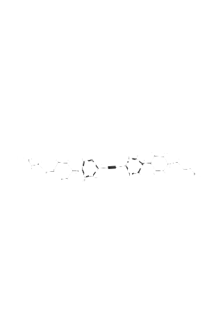 OCCCC1CCC(c2ccc(C#Cc3ccc(C4CCC(CCCO)CC4)cc3)cc2)CC1